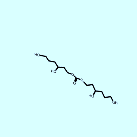 O=C(OCCC(O)CCCO)OCCC(O)CCCO